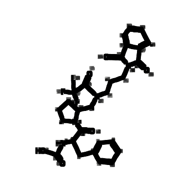 O=C(O)NC(Cc1ccccc1)C(=O)N1CCCC1CN(CCCN1C(=O)c2ccccc2C1=O)C(=O)C(F)(F)F